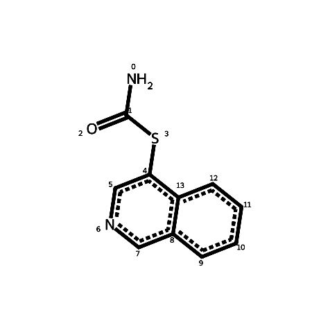 NC(=O)Sc1cncc2ccccc12